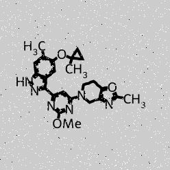 COc1nc(-c2n[nH]c3cc(C)c(OC4(C)CC4)cc23)cc(N2CCc3oc(C)nc3C2)n1